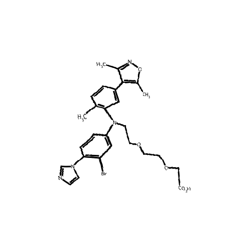 Cc1ccc(-c2c(C)noc2C)cc1N(CCOCCOCC(=O)O)c1ccc(-n2ccnc2)c(Br)c1